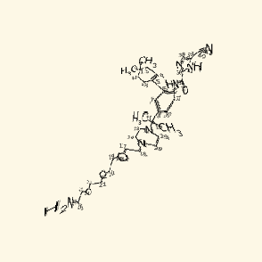 CC1(C)CC=C(c2cc(C(C)(C)N3CCN(CCOCCOCCOCCN)CC3)ccc2NC(=O)c2ncc(C#N)[nH]2)CC1